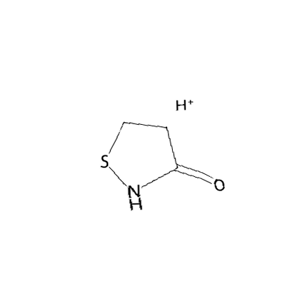 O=C1CCSN1.[H+]